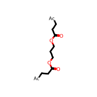 CC(=O)CCC(=O)OCCCOC(=O)CCC(C)=O